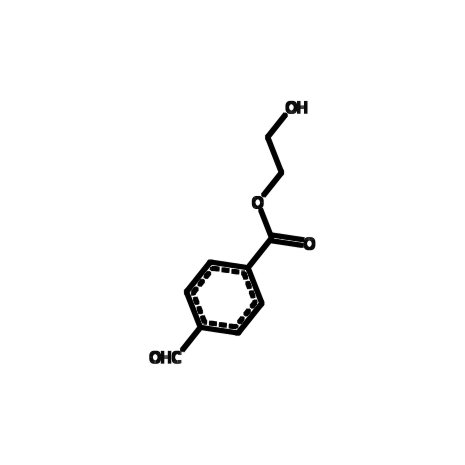 O=Cc1ccc(C(=O)OCCO)cc1